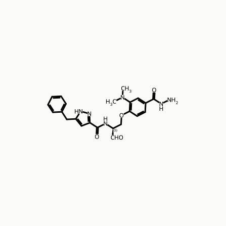 CN(C)c1cc(C(=O)NN)ccc1OC[C@@H](C=O)NC(=O)c1cc(Cc2ccccc2)[nH]n1